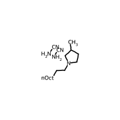 CCCCCCCCCCN1CCC(C)C1.N#CN.N#CN